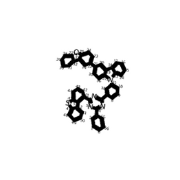 c1ccc(-c2nc(-c3cccc(-n4c5ccccc5c5cc(-c6ccc7oc8ccccc8c7c6)ccc54)c3)nc(-c3cccc4sc5ccccc5c34)n2)cc1